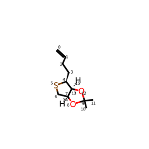 C=CCC[C@@H]1SC[C@@H]2OC(C)(C)O[C@@H]21